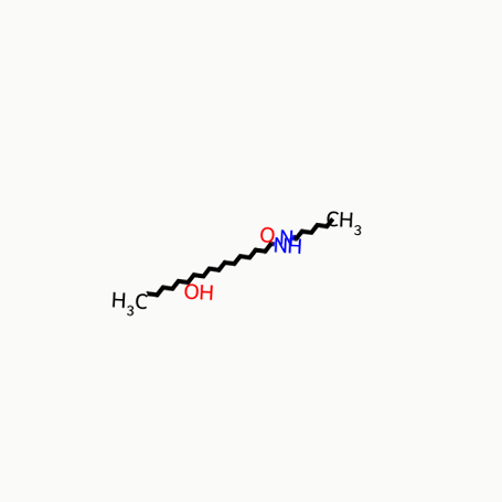 CCCCCC=NNC(=O)CCCCCCCCCC[C@H](O)CCCCCC